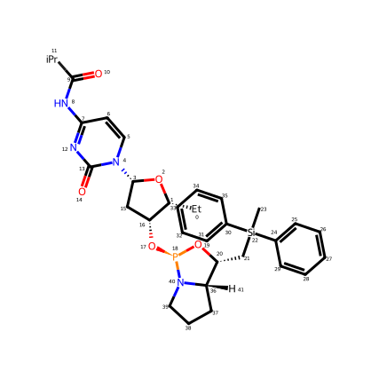 CC[C@H]1O[C@@H](n2ccc(NC(=O)C(C)C)nc2=O)C[C@H]1O[P@@]1O[C@H](C[Si](C)(c2ccccc2)c2ccccc2)[C@@H]2CCCN21